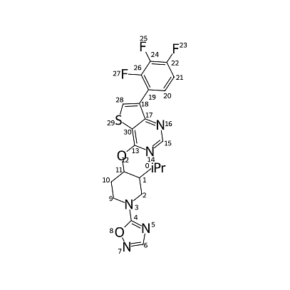 CC(C)C1CN(c2ncno2)CCC1Oc1ncnc2c(-c3ccc(F)c(F)c3F)csc12